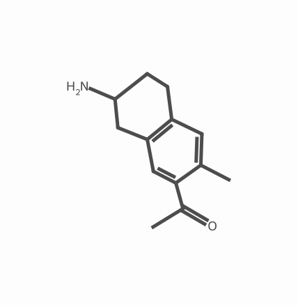 CC(=O)c1cc2c(cc1C)CCC(N)C2